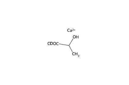 CC(O)C(=O)[O-].[Ca+2].[Cl-]